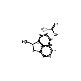 CC(=O)O.NC1Cc2cccc3cccc1c23